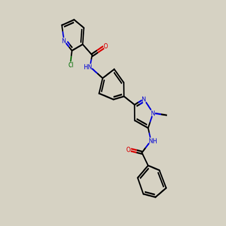 Cn1nc(-c2ccc(NC(=O)c3cccnc3Cl)cc2)cc1NC(=O)c1ccccc1